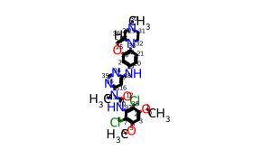 COc1cc(OC)c(Cl)c(NC(=O)N(C)c2cc(Nc3ccc4c(c3)OC[C@@H]3CN(C)CCN43)ncn2)c1Cl